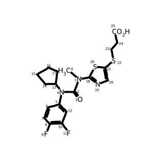 CN(C(=O)N(c1ccc(F)c(F)c1)C1CCCC1)c1ncc(SCCC(=O)O)s1